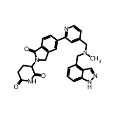 CN(Cc1ccnc(-c2ccc3c(c2)CN(C2CCC(=O)NC2=O)C3=O)c1)Cc1cccc2[nH]ncc12